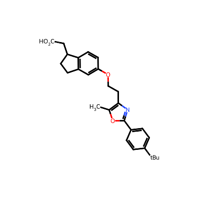 Cc1oc(-c2ccc(C(C)(C)C)cc2)nc1CCOc1ccc2c(c1)CCC2CC(=O)O